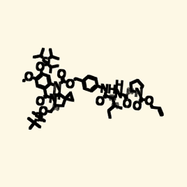 C=CCOC(=O)N1CCC[C@H]1C(=O)N[C@H](C(=O)Nc1ccc(COC(=O)Nc2cc(O[Si](C(C)C)(C(C)C)C(C)C)c(OC)cc2C(=O)N2CC3(CC3)C[C@H]2CO[Si](C)(C)C(C)(C)C)cc1)[C@@H](C)CC